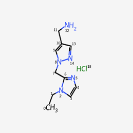 CCn1ccnc1Cn1cc(CN)cn1.Cl